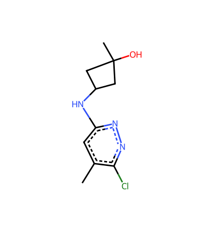 Cc1cc(NC2CC(C)(O)C2)nnc1Cl